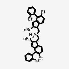 CCCCC1=Cc2c(ccc(CC)c2-c2ccccc2CC)C1C[SiH2]CC1C(CCCC)=Cc2c1ccc(CC)c2-c1ccccc1CC